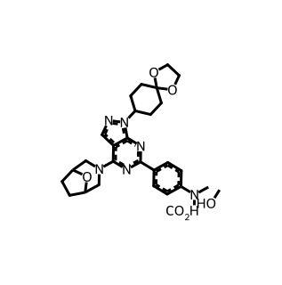 CN(C(=O)O)c1ccc(-c2nc(N3CC4CCC(C3)O4)c3cnn(C4CCC5(CC4)OCCO5)c3n2)cc1.CO